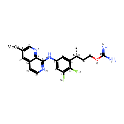 COc1cnc2c(Nc3cc(F)c(F)c([C@H](C)CCOC(=N)N)c3)nccc2c1